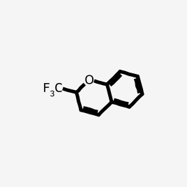 FC(F)(F)C1C=Cc2ccccc2O1